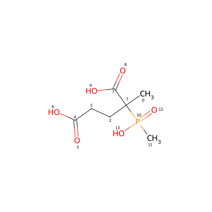 CC(CCC(=O)O)(C(=O)O)P(C)(=O)O